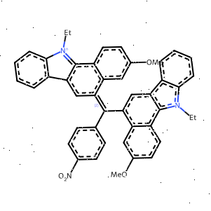 CCn1c2ccccc2c2cc(/C(c3ccc([N+](=O)[O-])cc3)=c3/cc4c(c5ccc(OC)cc35)=[N+](CC)c3ccccc3-4)c3cc(OC)ccc3c21